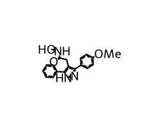 COc1ccc(-c2n[nH]c(-c3ccccc3)c2CC(=O)NO)cc1